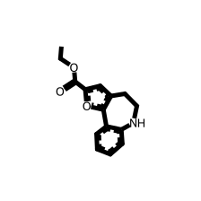 CCOC(=O)c1cc2c(o1)-c1ccccc1NCC2